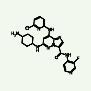 NC1CCC(Nc2cc(Nc3cccc(Cl)n3)c3ncc(C(=O)Nc4ccncc4F)n3n2)CC1